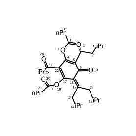 CCCC(=O)OC1=C(CCC(C)C)C(=O)C(=C(CC(C)C)CC(C)C)C(OC(=O)CCC)=C1C(=O)C(C)C